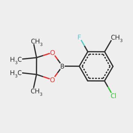 Cc1cc(Cl)cc(B2OC(C)(C)C(C)(C)O2)c1F